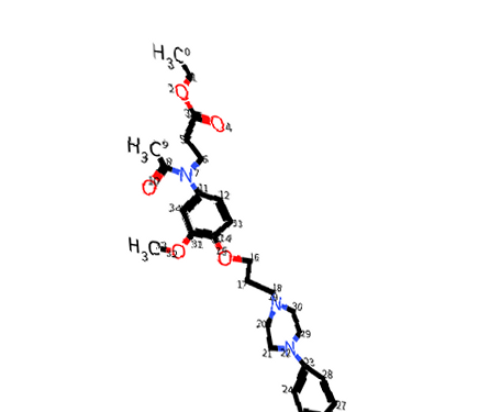 CCOC(=O)CCN(C(C)=O)c1ccc(OCCCN2CCN(c3ccccc3)CC2)c(OC)c1